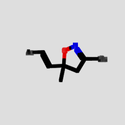 CC(=O)C=CC1(C)CC(C(C)(C)C)=NO1